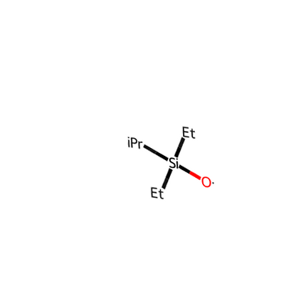 CC[Si]([O])(CC)C(C)C